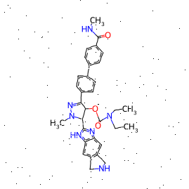 CCN(CC)C(=O)OC1C(c2ccc(-c3ccc(C(=O)NC)cc3)cc2)=NN(C)C1c1nc2cc3c(cc2[nH]1)CNC3